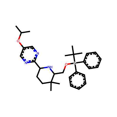 CC(C)Oc1cnc(C2CCC(C)(C)C(CO[Si](c3ccccc3)(c3ccccc3)C(C)(C)C)N2)nc1